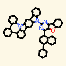 c1ccc(-c2ccc(-c3nc(-n4c5ccccc5c5cc6c(cc54)c4cccc5c4n6-c4ccccc4-c4ccccc4-5)nc4c3oc3ccccc34)c3ccccc23)cc1